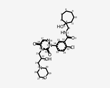 O=C(NCC1(O)CCCCCC1)c1cc(-n2ncc(=O)n(CC(O)CN3CCOCC3)c2=O)ccc1Cl